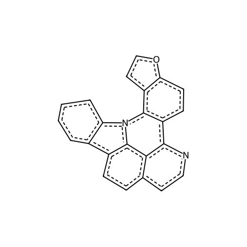 c1ccc2c(c1)c1ccc3ccnc4c5ccc6occc6c5n2c1c34